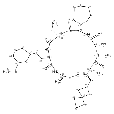 CCC[C@H]1C(=O)N[C@@H](C2CCCCCC2)C(=O)N[C@@H](CN)C(=O)N[C@@H](COC2CCOC(CN)C2)C(=O)N[C@H](C)CO[C@H](CC2CC3(CCC3)C2)[C@@H](C)C(=O)N1C